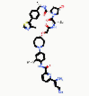 COc1cc(N2CCC[C@H](OCC(=O)N[C@H](C(=O)N3C[C@H](O)C[C@H]3C(=O)N[C@@H](C)c3ccc(-c4scnc4C)cc3)C(C)(C)C)CC2)ccc1NC(=O)c1cccc(/C(N)=C/C=N)n1